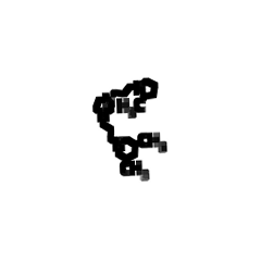 CC1CC(C)CN(CCCN2CCN(CCCN3CCCC3C)C2)C1